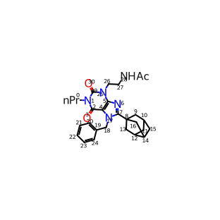 CCCn1c(=O)c2c(nc(C34CC5CC(C3)C(C5)C4)n2Cc2ccccc2)n(CCNC(C)=O)c1=O